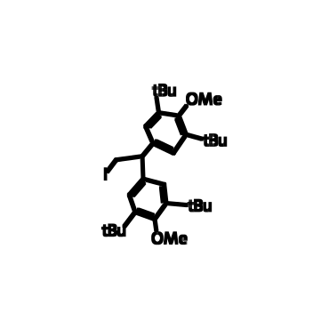 COc1c(C(C)(C)C)cc(C(CI)c2cc(C(C)(C)C)c(OC)c(C(C)(C)C)c2)cc1C(C)(C)C